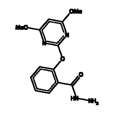 COc1cc(OC)nc(Oc2ccccc2C(=O)NN)n1